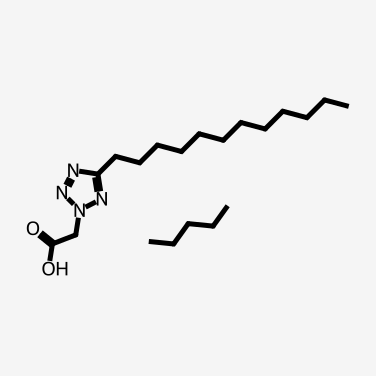 CCCCC.CCCCCCCCCCCCc1nnn(CC(=O)O)n1